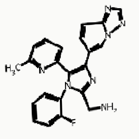 Cc1cccc(-c2c(-c3ccc4ncnn4c3)nc(CN)n2-c2ccccc2F)n1